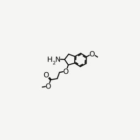 COC(=O)CCOC1c2ccc(OC)cc2CC1N